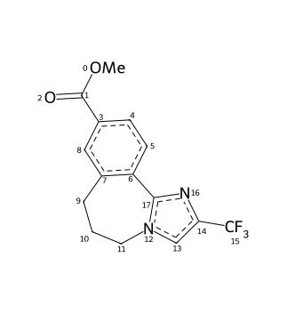 COC(=O)c1ccc2c(c1)CCCn1cc(C(F)(F)F)nc1-2